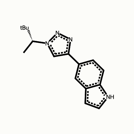 C[C@@H](n1cc(-c2ccc3[nH]ccc3c2)nn1)C(C)(C)C